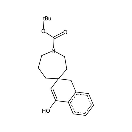 CC(C)(C)OC(=O)N1CCCC2(C=C(O)c3ccccc3C2)CC1